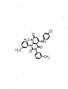 Cc1cccc(-n2c(=O)c3c(Nc4ccc(Cl)cc4)cc(=O)n(C)c3n(-c3cccc(C)c3)c2=O)c1